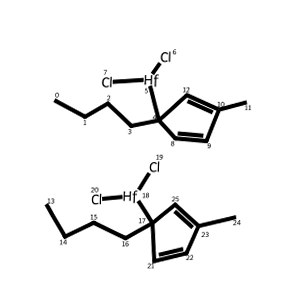 CCCC[C]1([Hf]([Cl])[Cl])C=CC(C)=C1.CCCC[C]1([Hf]([Cl])[Cl])C=CC(C)=C1